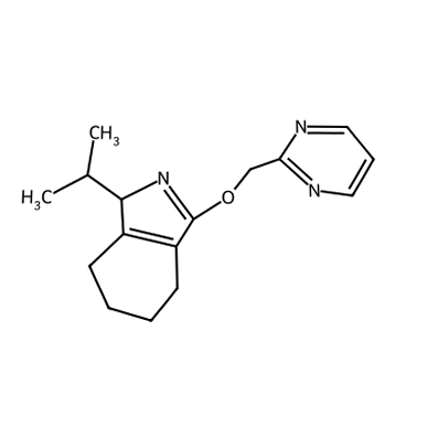 CC(C)C1N=C(OCc2ncccn2)C2=C1CCCC2